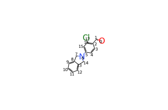 O=Cc1ccc(N2Cc3ccccc3C2)cc1Cl